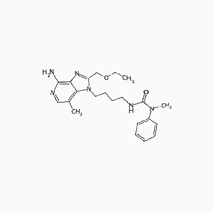 CCOCc1nc2c(N)ncc(C)c2n1CCCCNC(=O)N(C)c1ccccc1